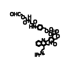 CC[C@@]1(OC(=O)OCc2ccc(NC(=O)CNC(=O)COCC=O)cc2)C(=O)OCc2c1cc1n(c2=O)Cc2c-1nc1ccccc1c2CCN(C)C(C)C